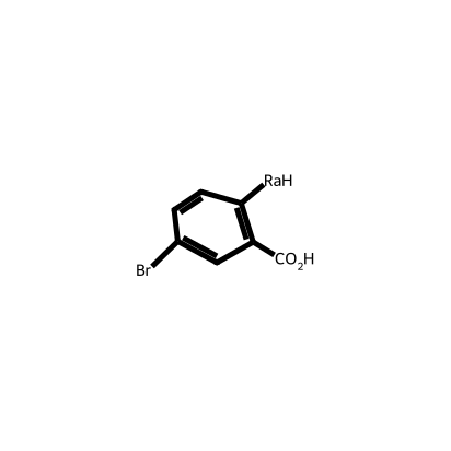 O=C(O)c1cc(Br)cc[c]1[RaH]